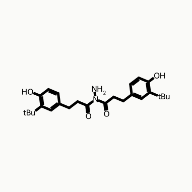 CC(C)(C)c1cc(CCC(=O)N(N)C(=O)CCc2ccc(O)c(C(C)(C)C)c2)ccc1O